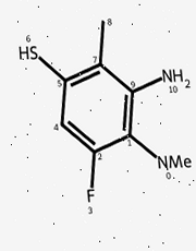 CNc1c(F)cc(S)c(C)c1N